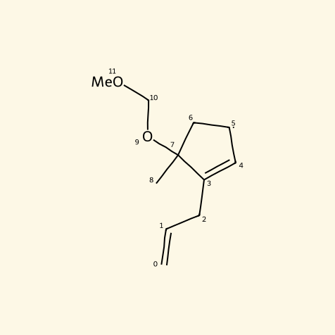 C=CCC1=C[CH]CC1(C)OCOC